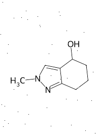 Cn1cc2c(n1)CCCC2O